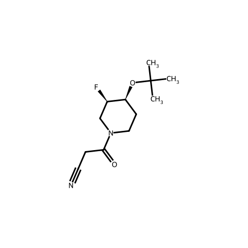 CC(C)(C)O[C@H]1CCN(C(=O)CC#N)C[C@H]1F